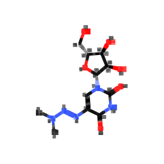 CCN(CC)N=Nc1cn([C@@H]2O[C@H](CO)[C@@H](O)[C@H]2O)c(=O)[nH]c1=O